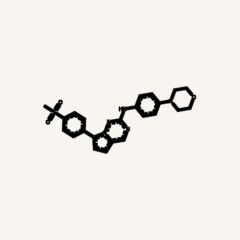 CS(=O)(=O)c1ccc(-c2ccc3cnc(Nc4ccc(N5CCOCC5)cc4)nn23)cc1